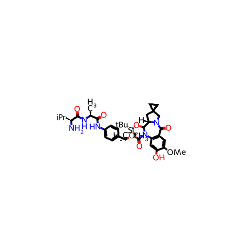 COc1cc2c(cc1O)N(C(=O)OCc1ccc(NC(=O)[C@H](C)NC(=O)[C@@H](N)C(C)C)cc1)C(O[Si](C)(C)C(C)(C)C)[C@@H]1CC3(CC3)CN1C2=O